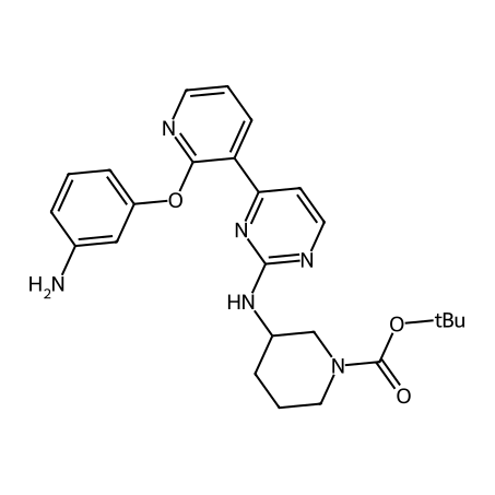 CC(C)(C)OC(=O)N1CCCC(Nc2nccc(-c3cccnc3Oc3cccc(N)c3)n2)C1